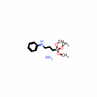 CO[Si](CCCNc1ccccc1)(OC)OC.N